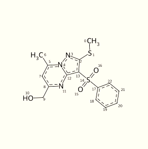 CSc1nn2c(C)cc(CO)nc2c1S(=O)(=O)c1ccccc1